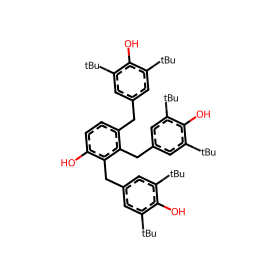 CC(C)(C)c1cc(Cc2ccc(O)c(Cc3cc(C(C)(C)C)c(O)c(C(C)(C)C)c3)c2Cc2cc(C(C)(C)C)c(O)c(C(C)(C)C)c2)cc(C(C)(C)C)c1O